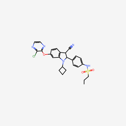 CCCS(=O)(=O)Nc1ccc(C2C(C#N)c3ccc(Oc4nccnc4Cl)cc3N2C2CCC2)cc1